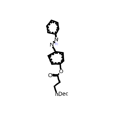 CCCCCCCCCCCCC(=O)Oc1ccc(/N=N/c2ccccc2)cc1